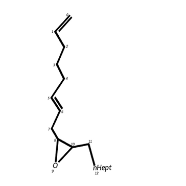 C=CCCCC=CCC1OC1CCCCCCCC